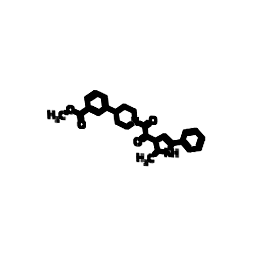 COC(=O)c1cccc(C2CCN(C(=O)C(=O)C3C=C(c4ccccc4)NC3C)CC2)c1